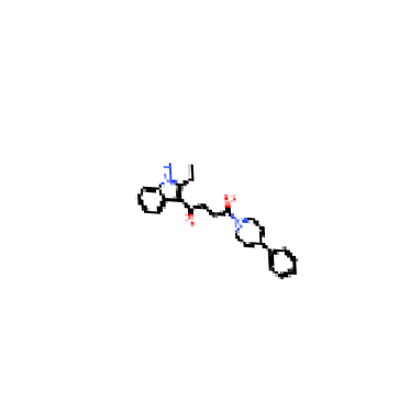 CCc1[nH]c2ccccc2c1C(=O)CCC(=O)N1CCC(c2ccccc2)CC1